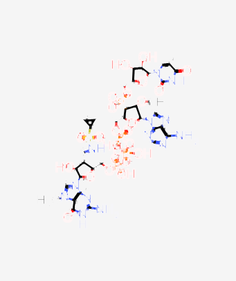 CO[C@@H]1[C@H](P(=O)([O-])OC[C@H]2O[C@@H](n3ccc(=O)[nH]c3=O)[C@H](O)[C@@H]2O)[C@@H](COP(=O)(O)OP(=O)(O)OP(=O)(O)OC[C@H]2O[C@@H](n3c[n+](C)c4c(=O)[nH]c(N)nc43)[C@H](O)[C@@H]2CNS(=O)(=O)C2CC2)O[C@H]1n1cnc2c(N)ncnc21